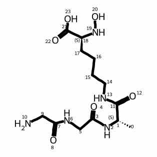 C[C@H](NC(=O)CNC(=O)CN)C(=O)NCCCC[C@H](NO)C(=O)O